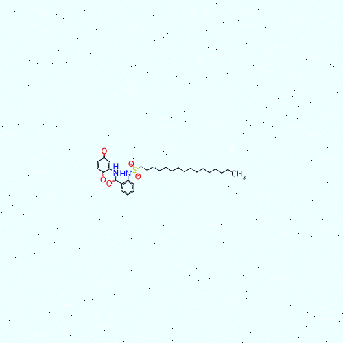 CCCCCCCCCCCCCCCCS(=O)(=O)Nc1ccccc1C(=O)NC1=CC(=O)C=CC1=O